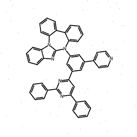 c1ccc(-c2cc(-c3cc(-c4ccncc4)cc(N4c5ccccc5-c5ccccc5-n5c4nc4ccccc45)c3)nc(-c3ccccc3)n2)cc1